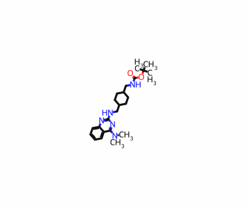 CN(C)c1nc(NCC2CCC(CNC(=O)OC(C)(C)C)CC2)nc2ccccc12